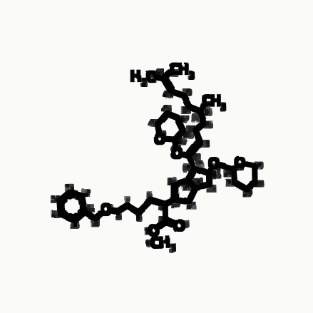 COC(=O)C(CCCCOCc1ccccc1)C1=CC2C(C1)C[C@@H](OC1CCCCO1)[C@@H]2C(=CCC[C@H](C)CCC=C(C)C)OC1CCCCO1